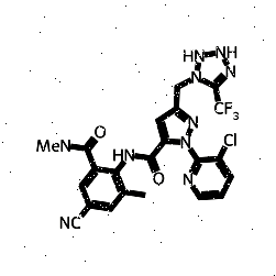 CNC(=O)c1cc(C#N)cc(C)c1NC(=O)c1cc(CN2NNN=C2C(F)(F)F)nn1-c1ncccc1Cl